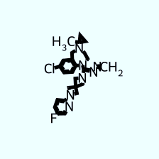 C=N/N=C(/N1CC2(C1)CN(c1ccc(F)cn1)C2)N1CCN(C2(C)CC2)Cc2cc(Cl)ccc21